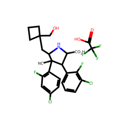 N#CC1(c2ccc(Cl)cc2F)C(CC2(CO)CCC2)NC(C(=O)O)C1c1cccc(Cl)c1F.O=C(O)C(F)(F)F